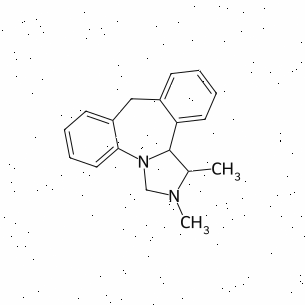 CC1C2c3ccccc3Cc3ccccc3N2CN1C